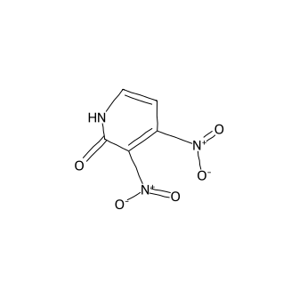 O=c1[nH]ccc([N+](=O)[O-])c1[N+](=O)[O-]